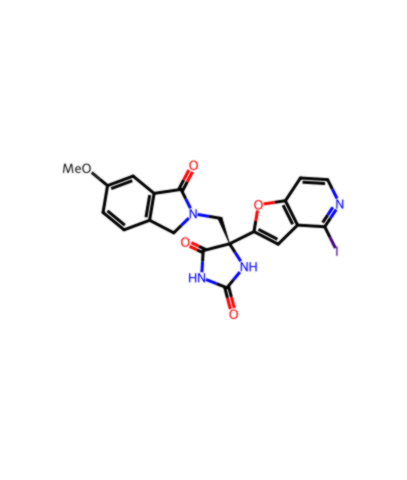 COc1ccc2c(c1)C(=O)N(C[C@@]1(c3cc4c(I)nccc4o3)NC(=O)NC1=O)C2